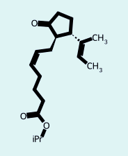 C/C=C(\C)[C@H]1CCC(=O)[C@@H]1C/C=C\CCCC(=O)OC(C)C